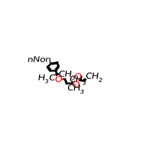 C=CC(=O)OC(C)(C)CCOC(C)(C)c1ccc(CCCCCCCCC)cc1